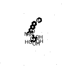 N#C/C(=C/c1ccc2cc(N3CCCCC3)ccc2c1)C(=O)NCC1OC(O)C(O)C(O)C1O